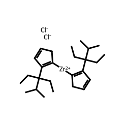 CCC(CC)(C1=[C]([Zr+2][C]2=C(C(CC)(CC)C(C)C)C=CC2)CC=C1)C(C)C.[Cl-].[Cl-]